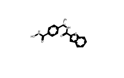 CC(C)[C@H](NC(=O)c1cc2ccccc2s1)c1ccc(C(=O)NO)cc1